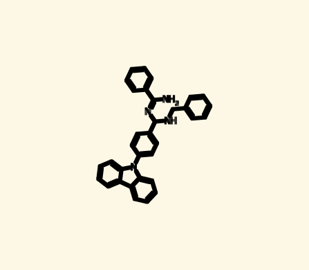 N/C(=N\C(NCc1ccccc1)c1ccc(-n2c3ccccc3c3ccccc32)cc1)c1ccccc1